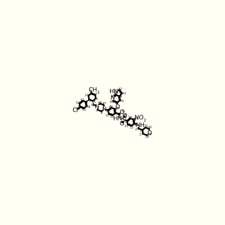 CC1=CC[C@@H](CN2CCN(c3ccc(C(=O)NS(=O)(=O)c4ccc(NCC5CCOCC5)c([N+](=O)[O-])c4)c(Oc4cnc5[nH]ccc5c4)c3)CC2)[C@@H](c2ccc(Cl)cc2)C1